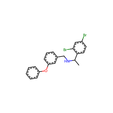 CC(NCc1cccc(Oc2ccccc2)c1)c1ccc(Br)cc1Br